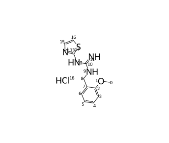 COc1ccccc1CNC(=N)Nc1nccs1.Cl